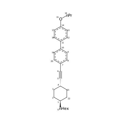 CCCCCC[C@H]1CC[C@H](C#Cc2ccc(-c3ccc(OCCC)cc3)cc2)CC1